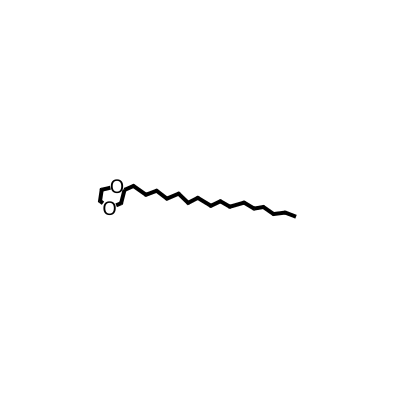 CCCCCCCCCCCCCCCCC1COCCO1